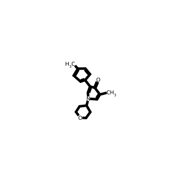 Cc1ccc(-c2cn(C3CCOCC3)cc(C)c2=O)cc1